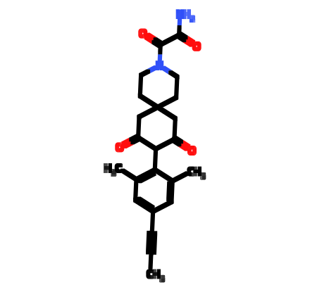 CC#Cc1cc(C)c(C2C(=O)CC3(CCN(C(=O)C(N)=O)CC3)CC2=O)c(C)c1